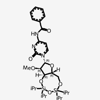 CO[C@@H]1[C@@H]2O[Si](C(C)C)(C(C)C)O[Si](C(C)C)(C(C)C)OC[C@H]2O[C@H]1n1ccc(NC(=O)c2ccccc2)nc1=O